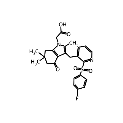 Cc1c(Cc2cccnc2S(=O)(=O)c2ccc(F)cc2)c2c(n1CC(=O)O)CC(C)(C)CC2=O